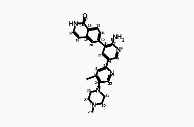 Cc1cc(-c2cnc(N)c(-c3ccc4c(=O)[nH]ccc4c3)c2)ncc1N1CCN(C)CC1